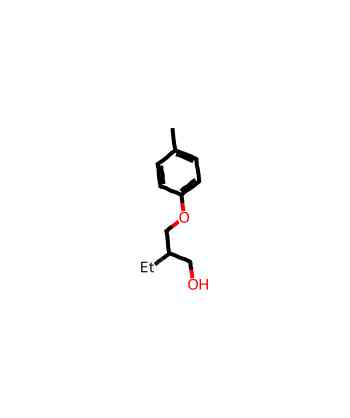 CCC(CO)COc1ccc(C)cc1